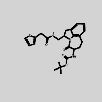 CC(C)(C)OC(=O)NC1CCc2cccc3c2N(C1=O)C(CNC(=O)Cc1cccs1)C3